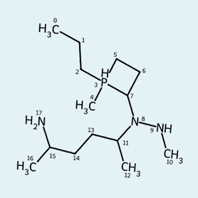 CCC[PH]1(C)CCC1N(NC)C(C)CCC(C)N